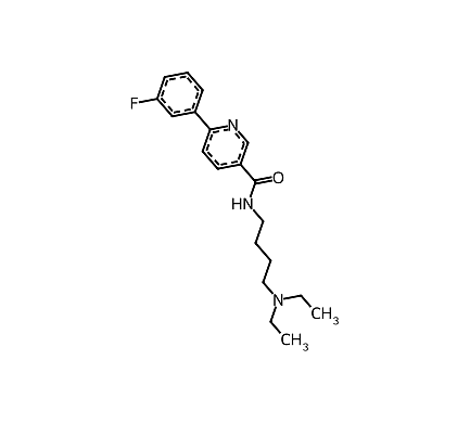 CCN(CC)CCCCNC(=O)c1ccc(-c2cccc(F)c2)nc1